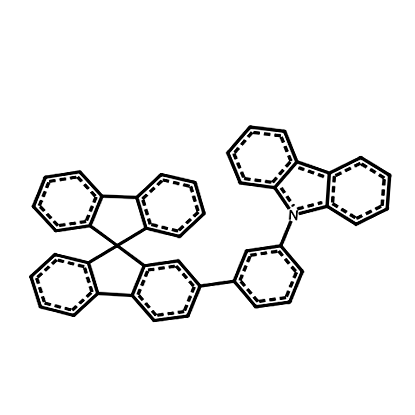 c1cc(-c2ccc3c(c2)C2(c4ccccc4-c4ccccc42)c2ccccc2-3)cc(-n2c3ccccc3c3ccccc32)c1